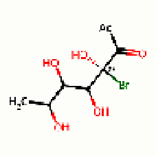 CC(=O)C(=O)[C@@](O)(Br)C(O)C(O)C(C)O